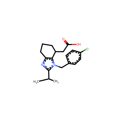 CC(C)c1nc2c(n1Cc1ccc(Cl)cc1)C(CC(=O)O)CCC2